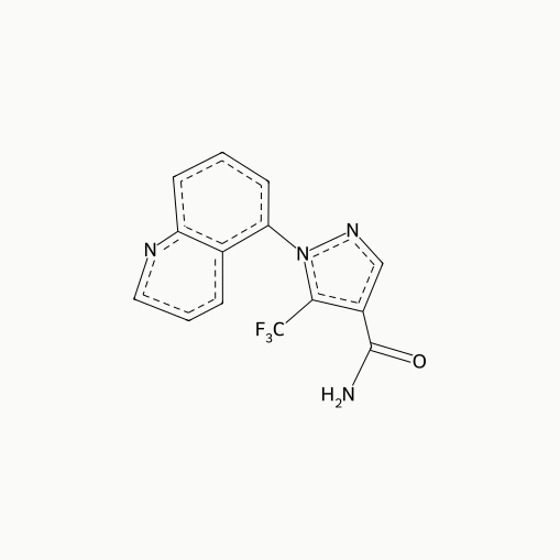 NC(=O)c1cnn(-c2cccc3ncccc23)c1C(F)(F)F